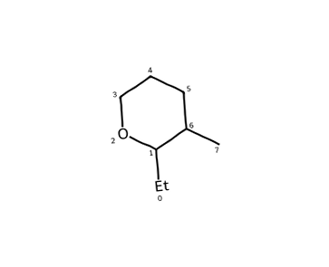 CCC1OCCCC1C